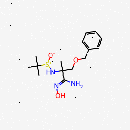 CC(COCc1ccccc1)(N[S+]([O-])C(C)(C)C)/C(N)=N/O